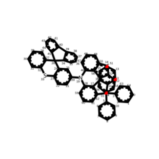 c1ccc(C2(c3ccccc3)c3ccccc3-c3c(N(c4ccc5c(c4)C4(c6ccccc6S5)c5ccccc5-c5ccccc54)c4cccc5sc6ccccc6c45)cccc32)cc1